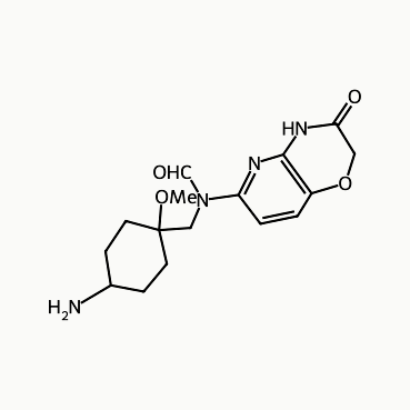 COC1(CN(C=O)c2ccc3c(n2)NC(=O)CO3)CCC(N)CC1